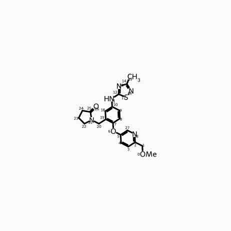 COCc1ccc(Oc2ccc(Nc3nc(C)ns3)cc2CN2CCCC2=O)cn1